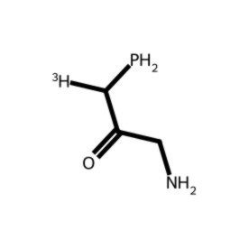 [3H]C(P)C(=O)CN